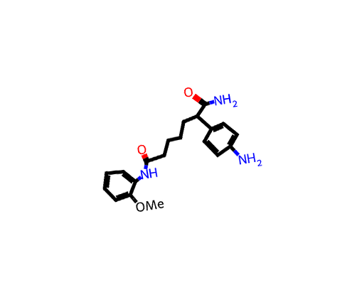 COc1ccccc1NC(=O)CCCCC(C(N)=O)c1ccc(N)cc1